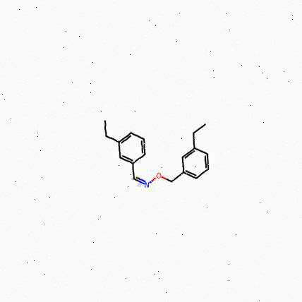 CCc1cccc(/[C]=N\OCc2cccc(CC)c2)c1